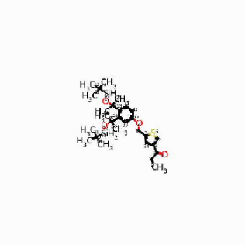 CCC(=O)c1csc(COc2ccc(C(C)(C)O[SiH2]C(C)(C)C)c(C(C)(C)O[SiH2]C(C)(C)C)c2)c1